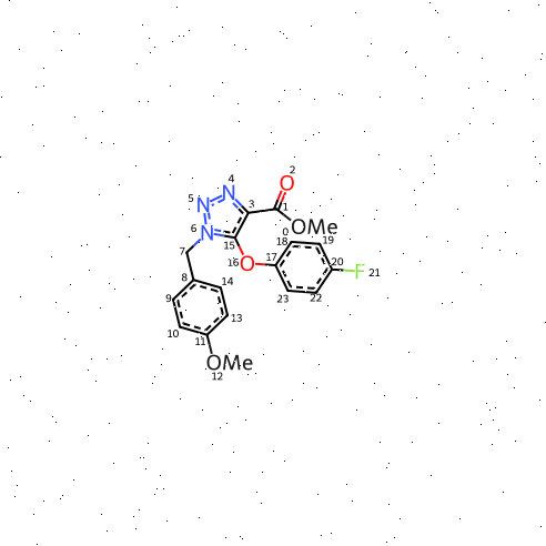 COC(=O)c1nnn(Cc2ccc(OC)cc2)c1Oc1ccc(F)cc1